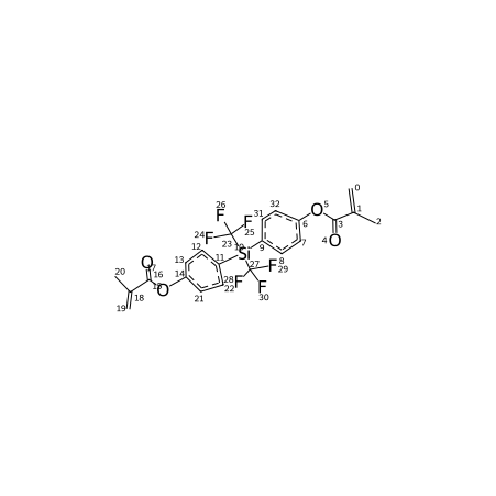 C=C(C)C(=O)Oc1ccc([Si](c2ccc(OC(=O)C(=C)C)cc2)(C(F)(F)F)C(F)(F)F)cc1